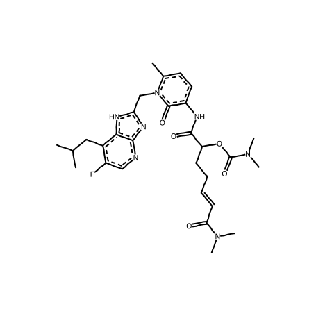 Cc1ccc(NC(=O)C(CC/C=C/C(=O)N(C)C)OC(=O)N(C)C)c(=O)n1Cc1nc2ncc(F)c(CC(C)C)c2[nH]1